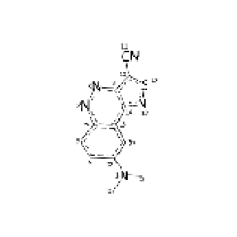 CN(C)c1ccc2nnc3c(C#N)snc3c2c1